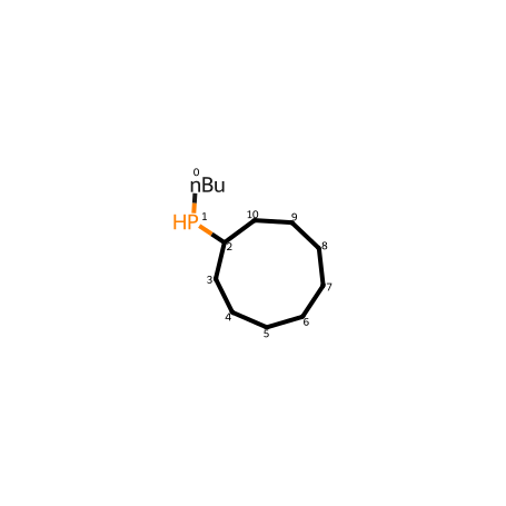 CCCCPC1CCCCCCCC1